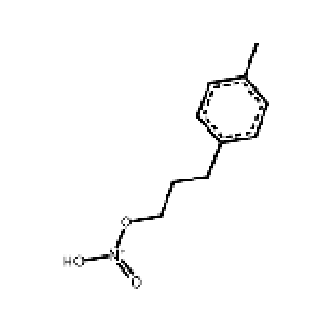 Cc1ccc(CCCO[N+](=O)O)cc1